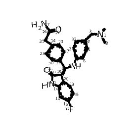 CN(C)Cc1ccc(NC(=C2C(=O)Nc3cc(F)ccc32)c2ccc(CC(N)=O)cc2)cc1